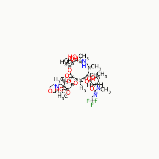 CC[C@H]1OC(=O)[C@H](C)[C@@H](O[C@H]2C[C@@](C)(OC)[C@](O)(CN3CCOCC3)[C@H](C)O2)[C@H](C)[C@@H](O[C@@H]2O[C@H](C)C[C@H]3[C@H]2O/C(=N\CC(F)(F)F)N3C)[C@](C)(O)C[C@@H](C)CN[C@H](C)[C@@H](O)[C@]1(C)O